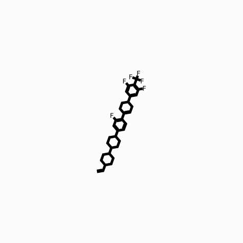 C=CC1CCC(C2CCC(c3ccc(C4=CCC(c5cc(F)c(C(F)(F)F)c(F)c5)CC4)c(F)c3)CC2)CC1